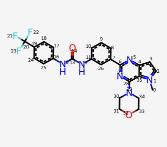 Cn1ccc2nc(-c3cccc(NC(=O)Nc4ccc(C(F)(F)F)cc4)c3)nc(N3CCOCC3)c21